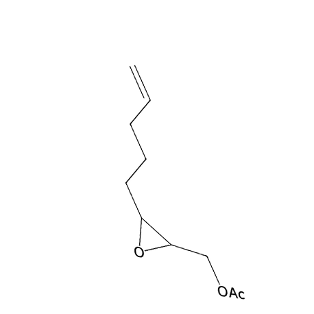 C=CCCCC1OC1COC(C)=O